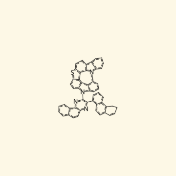 C1=Cc2ccc3c(-c4nc5ccc6ccccc6c5nc4-n4c5ccc6sc7ccc8c9ccccc9n9c%10cccc4c%10c5c6c7c89)cccc3c2CC1